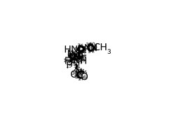 CN1CCN(c2ccc(Nc3ncc(C(F)(F)F)c(NCCCN4CCOCCC4=O)n3)c(OC(F)(F)F)c2)CC1